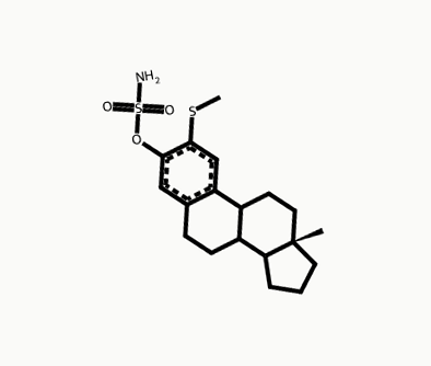 CSc1cc2c(cc1OS(N)(=O)=O)CCC1C2CC[C@]2(C)CCCC12